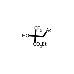 CCOC(=O)C(O)(CC(C)=O)C(F)(F)F